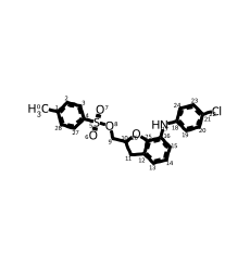 Cc1ccc(S(=O)(=O)OCC2Cc3cccc(Nc4ccc(Cl)cc4)c3O2)cc1